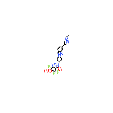 CCn1cc(-c2ccc3cn(C4CCC(CNC(=O)c5cc(F)c(O)c(F)c5F)CC4)nc3c2)cn1